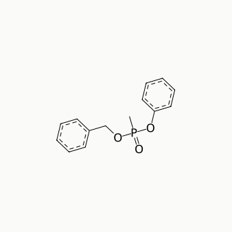 CP(=O)(OCc1ccccc1)Oc1ccccc1